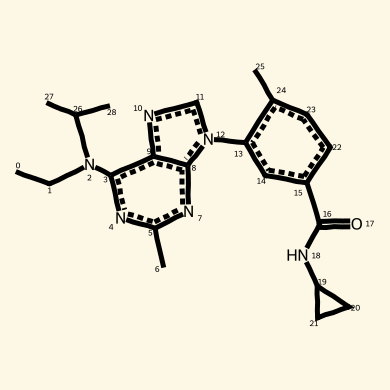 CCN(c1nc(C)nc2c1ncn2-c1cc(C(=O)NC2CC2)ccc1C)C(C)C